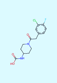 O=C(O)NC1CCN(C(=O)Cc2ccc(F)c(Cl)c2)CC1